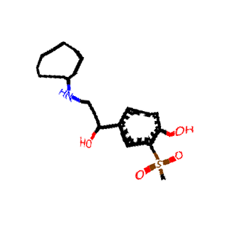 CS(=O)(=O)c1cc(C(O)CNC2CCCC2)ccc1O